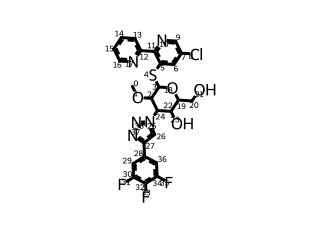 COC1C(Sc2cc(Cl)cnc2-c2ccccn2)OC(CO)C(O)C1n1cc(-c2cc(F)c(F)c(F)c2)nn1